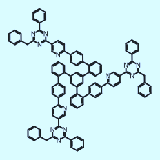 c1ccc(Cc2nc(-c3ccccc3)nc(-c3ccc(-c4ccc(-c5ccccc5-c5cc(-c6ccccc6-c6ccc(-c7ccc(-c8nc(Cc9ccccc9)nc(-c9ccccc9)n8)cn7)cc6)cc(-c6ccccc6-c6ccc(-c7ccc(-c8nc(Cc9ccccc9)nc(-c9ccccc9)n8)cn7)cc6)c5)cc4)nc3)n2)cc1